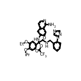 CCOc1cc(C(Nc2ccc3c(N)nccc3c2)(OC(=O)C(F)(F)F)C(=O)NCc2ccccc2-n2cncn2)ccc1OC(C)C